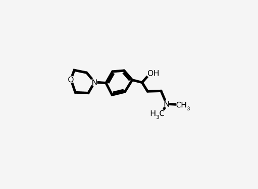 CN(C)CCC(O)c1ccc(N2CCOCC2)cc1